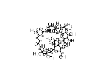 CCC(CCC(=O)NCC(C)(C)CC(C)(C)COC1OC(CO)C(O)C(O)C1NC(C)=O)CC(=O)NCC(C)(C)CC(C)(C)COC1OC(CO)C(O)C(O)C1NC(C)=O